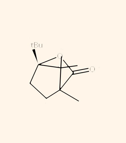 CC12CC[C@](C(C)(C)C)(OC1=O)C2(C)C